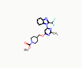 Cc1nc(OCC2CCN(C(=O)OC(C)(C)C)CC2)cc(-n2c(C(F)F)nc3ccccc32)n1